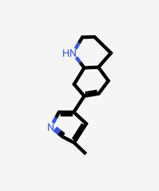 Cc1cncc(C2=CCC3CCCNC3C2)c1